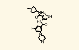 CN1CCC(NC(=O)c2n[nH]cc2NC(=O)c2cc(F)cc(N3CCN(C)CC3)c2)CC1